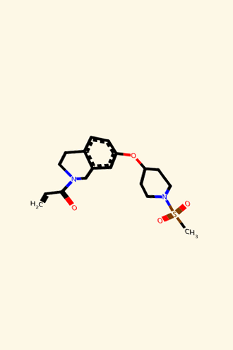 C=CC(=O)N1CCc2ccc(OC3CCN(S(C)(=O)=O)CC3)cc2C1